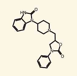 O=C1OC(CN2CCC(n3c(=O)[nH]c4ccccc43)CC2)CN1c1ccccc1